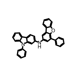 c1ccc(-c2cc(Nc3ccc4c5ccccc5n(-c5ccccc5)c4c3)cc3c2oc2ccccc23)cc1